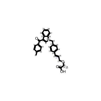 Cc1ccc(C(=O)c2cn(Cc3ccc(/C=C/CO[C@H](C)C(=O)O)cc3)c3ccccc23)cc1